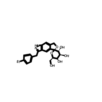 CCc1ccc(Cc2n[nH]c3cc4c(cc23)[C@]2(OC4)O[C@H](CO)[C@@H](O)[C@H](O)[C@H]2O)cc1